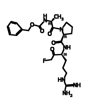 C[C@H](NC(=O)OCc1ccccc1)C(=O)N1CCC[C@H]1C(=O)N[C@@H](CCCNC(=N)N)C(=O)CF